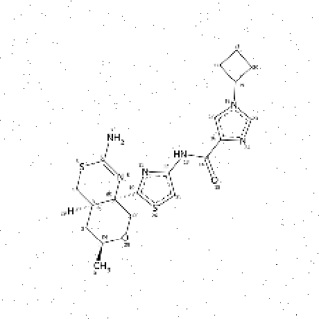 C[C@H]1C[C@H]2CSC(N)=N[C@@]2(c2nc(NC(=O)c3cn(C4CCC4)cn3)cs2)CO1